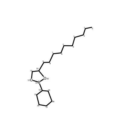 CCCCCCCCCCC1COB(C2CCCCC2)O1